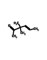 CC=CC(C)(C)C(C)=O